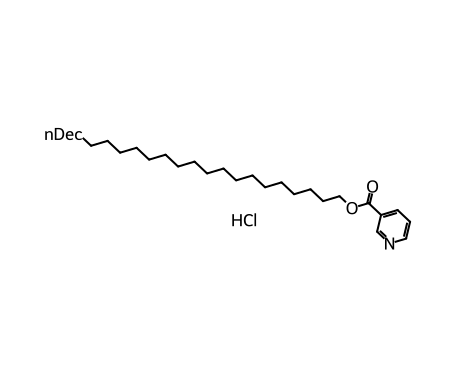 CCCCCCCCCCCCCCCCCCCCCCCCCCCCOC(=O)c1cccnc1.Cl